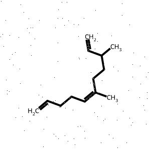 C=C[CH]CC=C(C)CCC(C)C=C